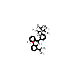 CC(C)C1=C(NC(c2ccccc2)c2cccc(S(C(C)C)(C(C)C)C(C)C)n2)C(C(C)C)CC=C1